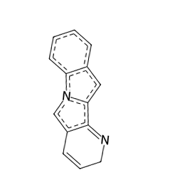 C1=Cc2cn3c(cc4ccccc43)c2=NC1